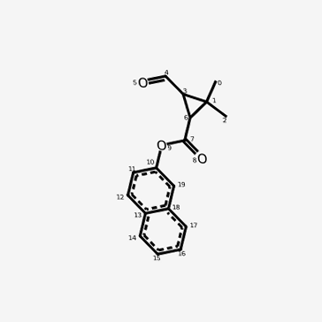 CC1(C)C(C=O)C1C(=O)Oc1ccc2ccccc2c1